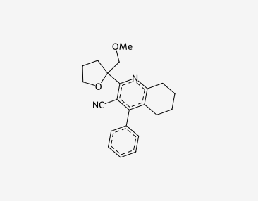 COCC1(c2nc3c(c(-c4ccccc4)c2C#N)CCCC3)CCCO1